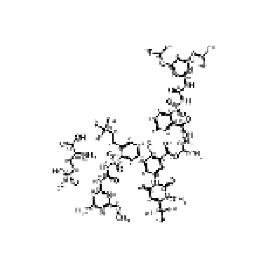 CC(C)OC(=O)c1cc(-n2c(=O)cc(C(F)(F)F)n(C)c2=O)ccc1Cl.COc1nc(C)nc(NC(=O)NS(=O)(=O)c2ccccc2CCC(F)(F)F)n1.CP(=O)(O)CCC(N)C(=O)O.O=C(Nc1nc(OC(F)F)cc(OC(F)F)n1)NS(=O)(=O)c1ccccc1C(=O)O